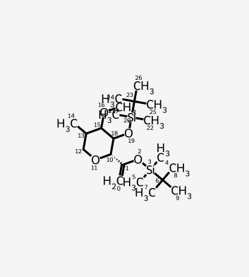 C=C(O[Si](C)(C)C(C)(C)C)[C@@H]1OCC(C)C(OC)C1O[Si](C)(C)C(C)(C)C